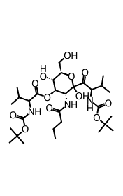 CCCC(=O)N[C@@H]1[C@@H](OC(=O)C(NC(=O)OC(C)(C)C)C(C)C)[C@H](O)[C@@H](CO)OC1(O)C(=O)C(NC(=O)OC(C)(C)C)C(C)C